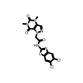 Cn1c(=O)c2c(cnn2CC(=O)Nc2nc3cc(Cl)c(Cl)cc3o2)n(C)c1=O